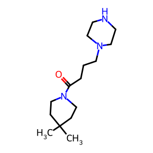 CC1(C)CCN(C(=O)CCCN2CCNCC2)CC1